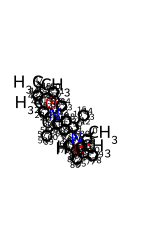 Cc1ccc(C)c(N(c2cc(C3CCCCC3)c3ccc4c(N(c5cc(C)ccc5C)c5cccc6c5oc5c(-c7ccccc7C(C)C)cccc56)cc(C5CCCCC5)c5ccc2c3c54)c2cccc3c2oc2c(-c4ccccc4C(C)C)cccc23)c1